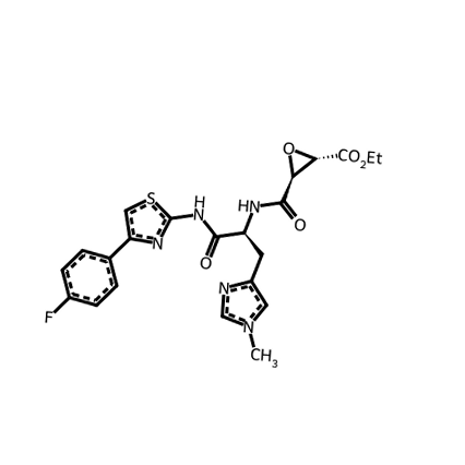 CCOC(=O)[C@H]1O[C@@H]1C(=O)N[C@@H](Cc1cn(C)cn1)C(=O)Nc1nc(-c2ccc(F)cc2)cs1